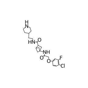 O=C(COc1ccc(Cl)c(F)c1)NC12CC(C1)C(C(=O)NCCC1CCNCC1)C2